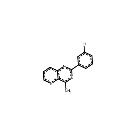 Nc1nc(-c2cccc(Cl)c2)nc2cccnc12